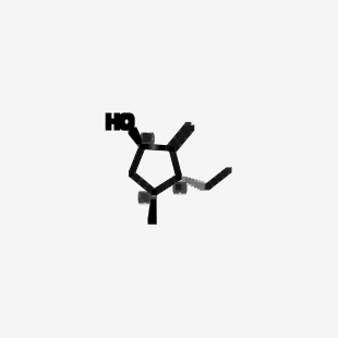 C=C1[C@H](O)C[C@H](C)[C@H]1CC